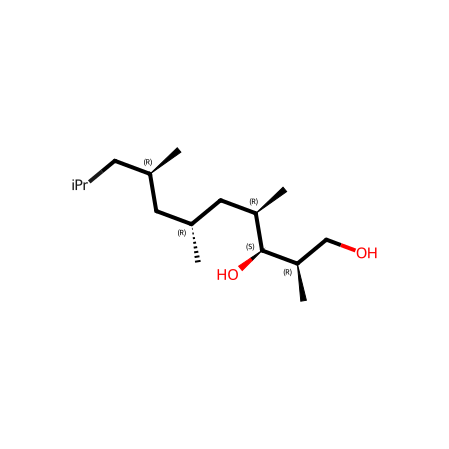 CC(C)C[C@@H](C)C[C@@H](C)C[C@@H](C)[C@H](O)[C@H](C)CO